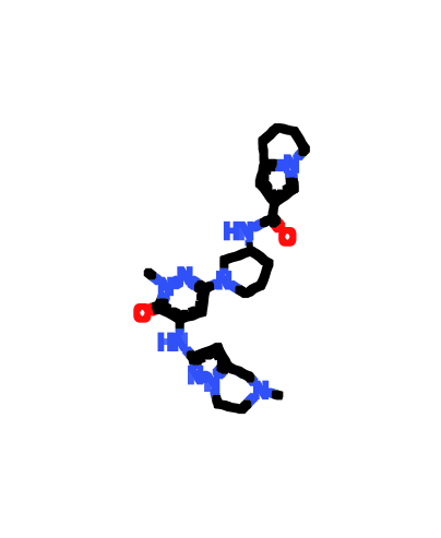 CN1CCn2nc(Nc3cc(N4CCC[C@@H](NC(=O)c5cc6n(c5)CCCC6)C4)nn(C)c3=O)cc2C1